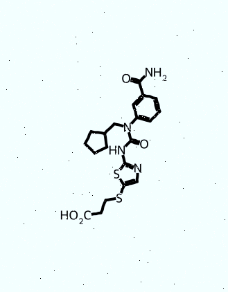 NC(=O)c1cccc(N(CC2CCCC2)C(=O)Nc2ncc(SCCC(=O)O)s2)c1